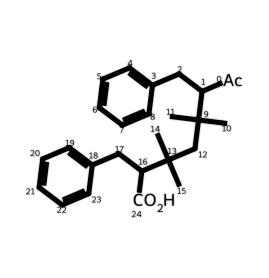 CC(=O)C(Cc1ccccc1)C(C)(C)CC(C)(C)C(Cc1ccccc1)C(=O)O